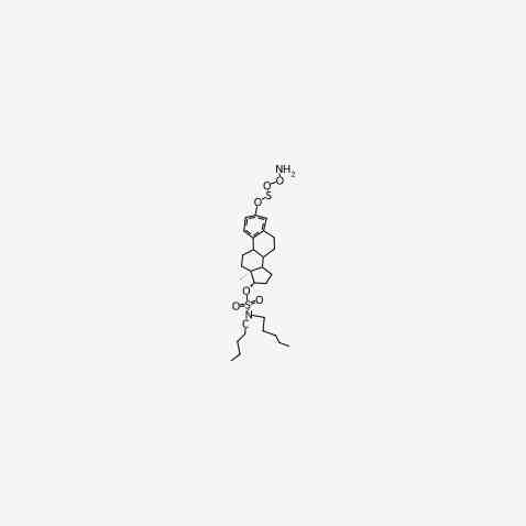 CCCCCN(CCCCC)S(=O)(=O)O[C@@H]1CCC2C3CCc4cc(OSOON)ccc4C3CC[C@@]21C